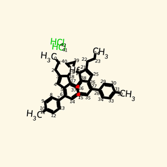 CCCC1=Cc2c(-c3ccc(C)cc3)cccc2[CH]1[Hf]1([CH]2C(CCC)=Cc3c(-c4ccc(C)cc4)cccc32)[CH2][CH2]1.Cl.Cl